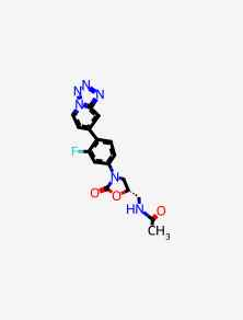 CC(=O)NC[C@H]1CN(c2ccc(-c3ccn4nnnc4c3)c(F)c2)C(=O)O1